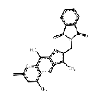 Cc1cc(=O)oc2c(C)c3oc(CN4C(=O)c5ccccc5C4=O)c(C)c3cc12